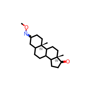 CON=C1CC[C@@]2(C)C(CCC3C2CC[C@]2(C)C(=O)CCC32)C1